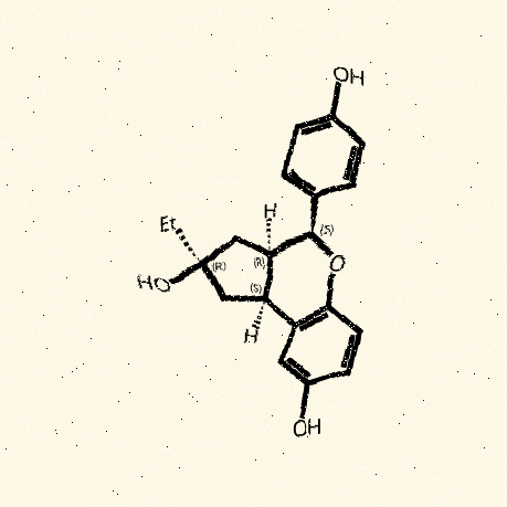 CC[C@]1(O)C[C@@H]2[C@H](C1)c1cc(O)ccc1O[C@@H]2c1ccc(O)cc1